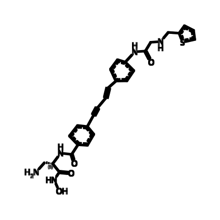 NC[C@H](NC(=O)c1ccc(C#CC#Cc2ccc(NC(=O)CNCc3cccs3)cc2)cc1)C(=O)NO